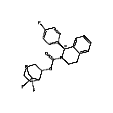 O=C(OC1CN2CCC1C(F)(F)C2)N1CCc2ccccc2[C@@H]1c1ccc(F)cc1